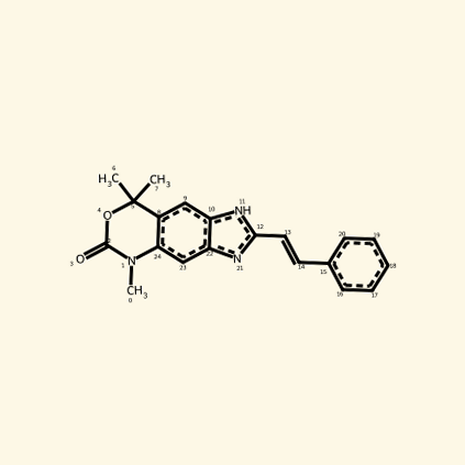 CN1C(=O)OC(C)(C)c2cc3[nH]c(C=Cc4ccccc4)nc3cc21